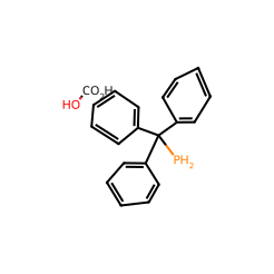 O=C(O)O.PC(c1ccccc1)(c1ccccc1)c1ccccc1